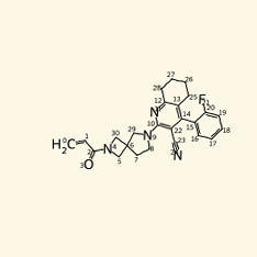 C=CC(=O)N1CC2(CCN(c3nc4c(c(-c5ccccc5F)c3C#N)CCCC4)C2)C1